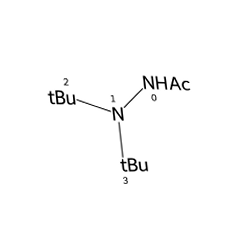 CC(=O)NN(C(C)(C)C)C(C)(C)C